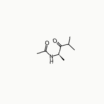 CC(=O)N[C@H](C)C(=O)C(C)C